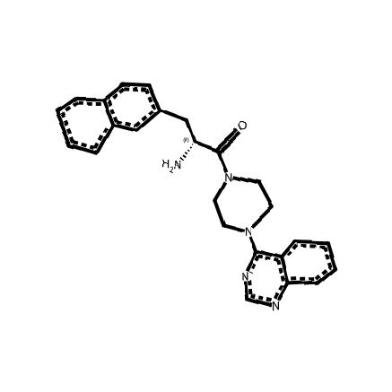 N[C@H](Cc1ccc2ccccc2c1)C(=O)N1CCN(c2ncnc3ccccc23)CC1